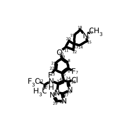 C[C@H](Nc1c(-c2c(F)cc(OC3CC4(CCN(C)CC4)C3)cc2F)c(Cl)nc2ncnn12)C(F)(F)F